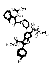 CNC(=O)c1c(-c2ccc(F)cc2)oc2cc(N(C)S(C)(=O)=O)c([C@H]3CCCN(C(=O)C(NC(=O)O)c4ccccc4F)C3)cc12